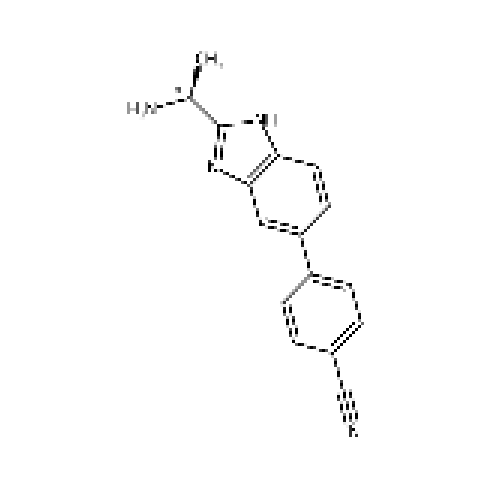 C[C@H](N)c1nc2cc(-c3ccc(C#N)cc3)ccc2[nH]1